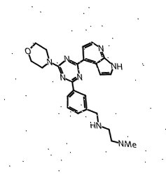 CNCCNCc1cccc(-c2nc(-c3ccnc4[nH]ccc34)nc(N3CCOCC3)n2)c1